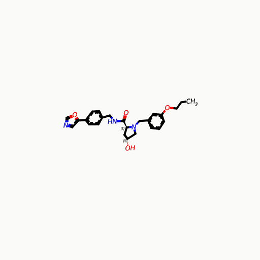 CCCOc1cccc(CN2C[C@H](O)C[C@H]2C(=O)NCc2ccc(-c3cnco3)cc2)c1